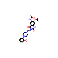 COc1ccccc1N1CCN(CCn2c(=O)[nH]c3cc(OC(C)C)c(NC(C)=O)cc3c2=O)CC1